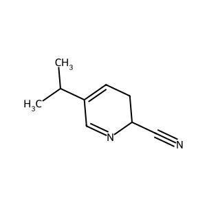 CC(C)C1=CCC(C#N)N=C1